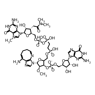 CO[C@@H]1[C@H](OP(=O)([O-])OC[C@H]2O[C@@H](n3cnc4c(=O)[nH]c(N)nc43)[C@H](O)[C@@H]2O)C(COP(=O)(O)CCP(=O)(O)OP(=O)(O)OC[C@H]2O[C@@H](n3c[n+](C)c4c(=O)[nH]c(N)nc43)[C@H](O)[C@@H]2CC(=O)N(C)C)O[C@H]1n1cnc2c1/N=C\CC/C=C\2N